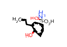 C=CCc1ccccc1O.N.O=S(=O)(O)O